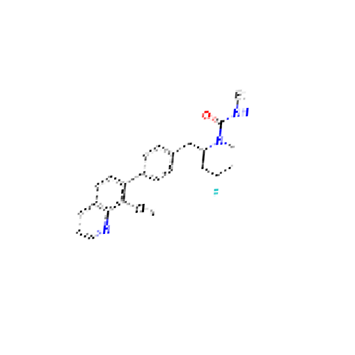 CCNC(=O)N1CCC(F)CC1Cc1ccc(-c2ccc3cccnc3c2C)cc1